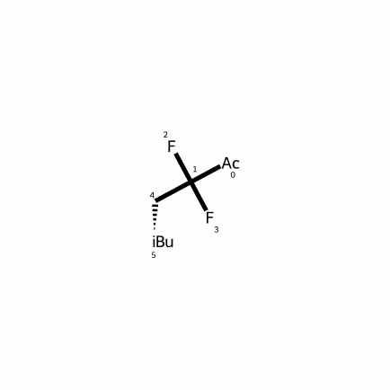 [CH2]C(=O)C(F)(F)C[C@@H](C)CC